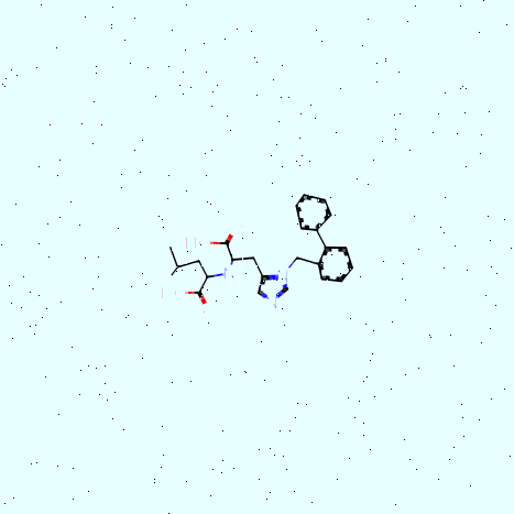 CC(C)CC(NC(Cc1cncn1Cc1ccccc1-c1ccccc1)C(=O)O)C(=O)O